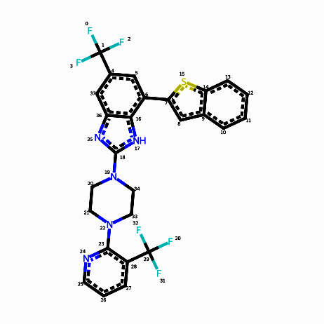 FC(F)(F)c1cc(-c2cc3ccccc3s2)c2[nH]c(N3CCN(c4ncccc4C(F)(F)F)CC3)nc2c1